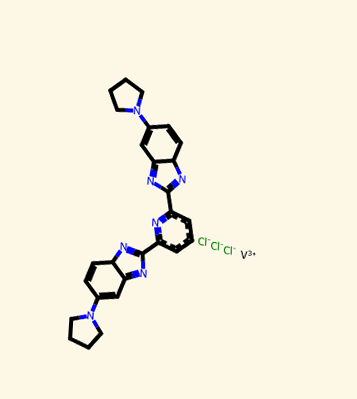 C1=CC2N=C(c3cccc(C4=NC5C=CC(N6CCCC6)=CC5=N4)n3)N=C2C=C1N1CCCC1.[Cl-].[Cl-].[Cl-].[V+3]